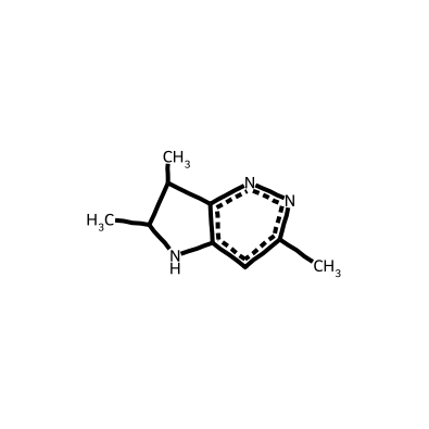 Cc1cc2c(nn1)C(C)C(C)N2